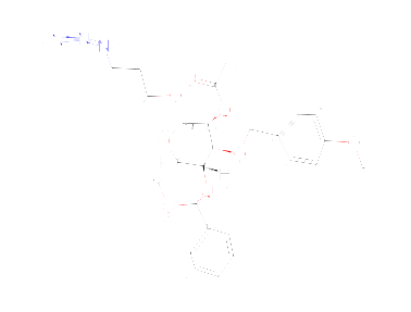 COc1ccc(CO[C@@H]2[C@H](OC(C)=O)[C@@H](OCCCN=[N+]=[N-])O[C@@H]3COC(c4ccccc4)O[C@@H]23)cc1